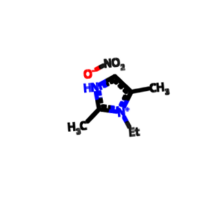 CC[n+]1c(C)c[nH]c1C.O=[N+]([O-])[O-]